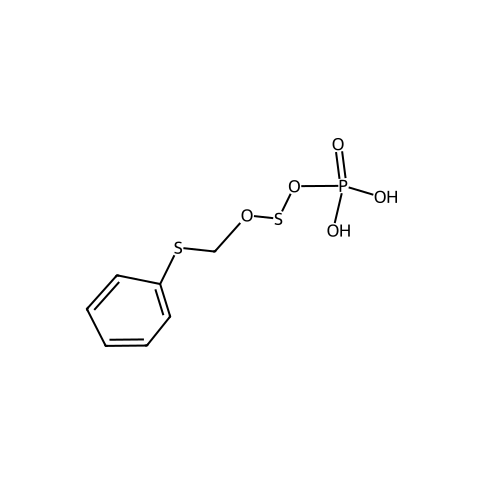 O=P(O)(O)OSOCSc1ccccc1